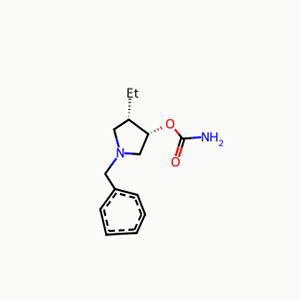 CC[C@H]1CN(Cc2ccccc2)C[C@H]1OC(N)=O